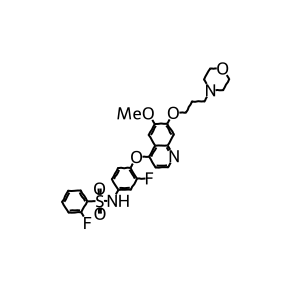 COc1cc2c(Oc3ccc(NS(=O)(=O)c4ccccc4F)cc3F)ccnc2cc1OCCCN1CCOCC1